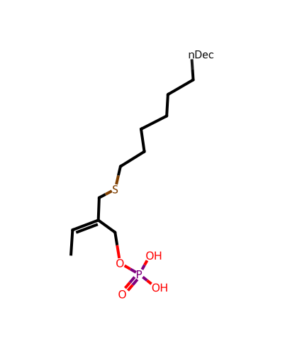 CC=C(COP(=O)(O)O)CSCCCCCCCCCCCCCCCC